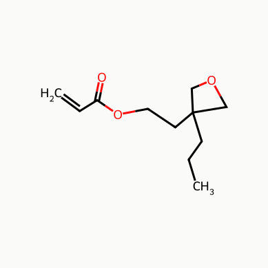 C=CC(=O)OCCC1(CCC)COC1